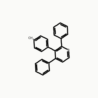 C.b1ccc(-c2ccccc2)c(-c2ccccc2)c1-c1ccccc1